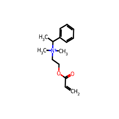 C=CC(=O)OCC[N+](C)(C)C(C)c1ccccc1